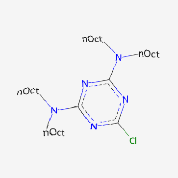 CCCCCCCCN(CCCCCCCC)c1nc(Cl)nc(N(CCCCCCCC)CCCCCCCC)n1